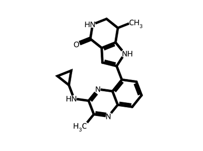 Cc1nc2cccc(-c3cc4c([nH]3)C(C)CNC4=O)c2nc1NC1CC1